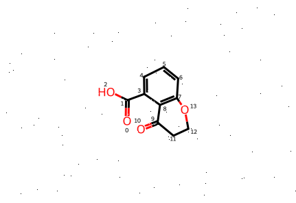 O=C(O)c1cccc2c1C(=O)CCO2